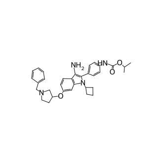 CC(C)OC(=O)Nc1ccc(-c2c(N)c3ccc(OC4CCN(Cc5ccccc5)C4)cc3n2C2CCC2)cc1